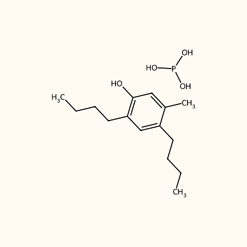 CCCCc1cc(CCCC)c(O)cc1C.OP(O)O